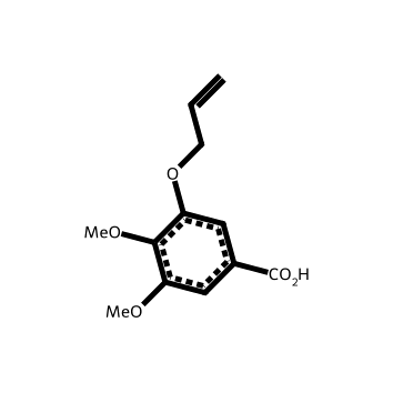 C=CCOc1cc(C(=O)O)cc(OC)c1OC